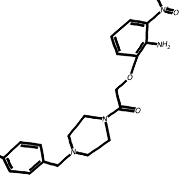 Nc1c(OCC(=O)N2CCN(Cc3ccc(Cl)cc3)CC2)cccc1[N+](=O)[O-]